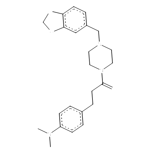 CN(C)c1ccc(CCC(=O)N2CCN(Cc3ccc4c(c3)OCO4)CC2)cc1